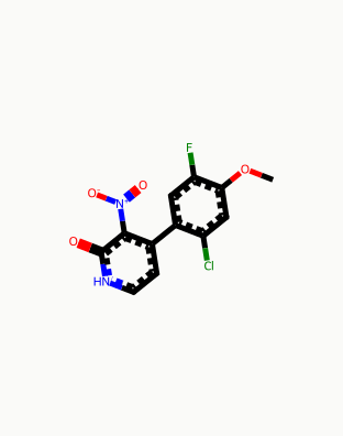 COc1cc(Cl)c(-c2cc[nH]c(=O)c2[N+](=O)[O-])cc1F